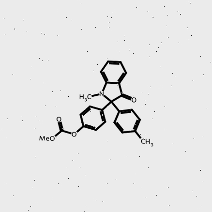 COC(=O)Oc1ccc(C2(c3ccc(C)cc3)C(=O)c3ccccc3N2C)cc1